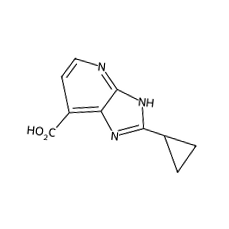 O=C(O)c1ccnc2[nH]c(C3CC3)nc12